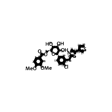 COc1ccc(C(=O)OC[C@H]2O[C@@H](c3ccc(Cl)c(Cc4ncc(-c5ccsc5)s4)c3)[C@H](O)[C@@H](O)[C@@H]2O)cc1OC